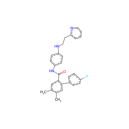 Cc1cc(C(=O)Nc2ccc(NCCc3ccccn3)cc2)c(-c2ccc(F)cc2)cc1C